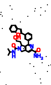 CC(C)NC(=O)N1Cc2cc(C(N)=O)nc(-c3cccc(-c4cc5ccccc5o4)c3)c2C1CCO